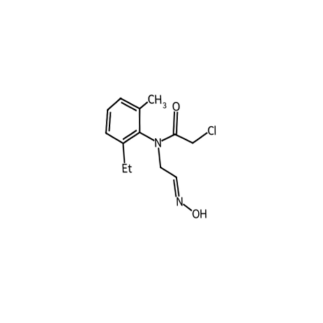 CCc1cccc(C)c1N(CC=NO)C(=O)CCl